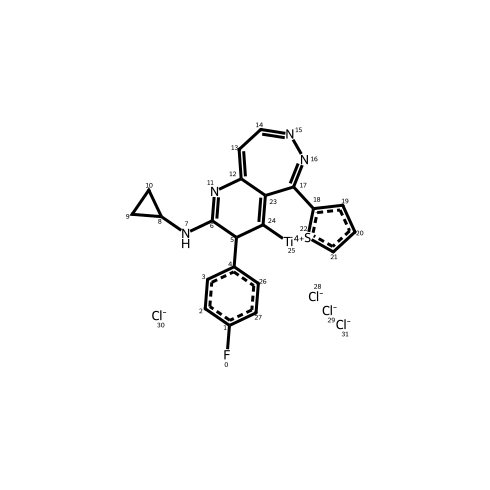 Fc1ccc(C2C(NC3CC3)=NC3=CC=NN=C(c4cccs4)C3=[C]2[Ti+4])cc1.[Cl-].[Cl-].[Cl-].[Cl-]